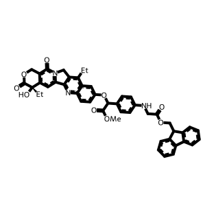 CCc1c2c(nc3ccc(OC(C(=O)OC)c4ccc(NCC(=O)OCC5c6ccccc6-c6ccccc65)cc4)cc13)-c1cc3c(c(=O)n1C2)COC(=O)[C@]3(O)CC